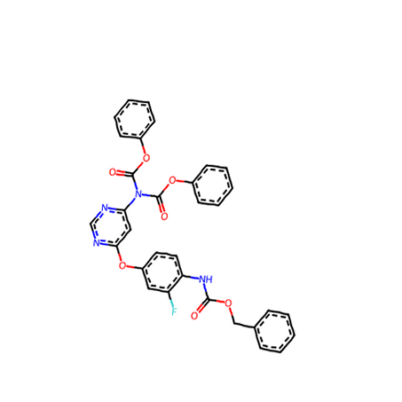 O=C(Nc1ccc(Oc2cc(N(C(=O)Oc3ccccc3)C(=O)Oc3ccccc3)ncn2)cc1F)OCc1ccccc1